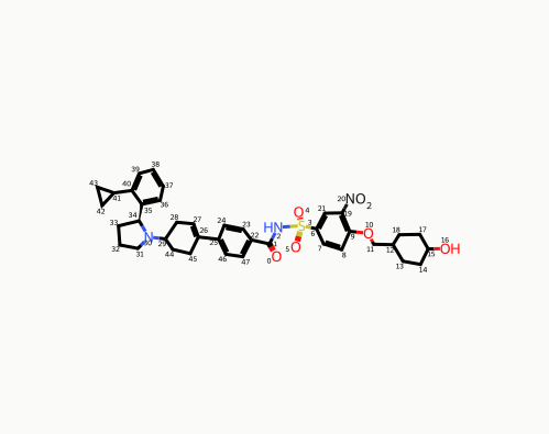 O=C(NS(=O)(=O)c1ccc(OCC2CCC(O)CC2)c([N+](=O)[O-])c1)c1ccc(C2=CCC(N3CCC[C@H]3c3ccccc3C3CC3)CC2)cc1